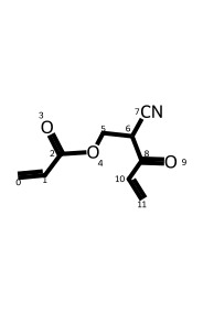 C=CC(=O)OCC(C#N)C(=O)C=C